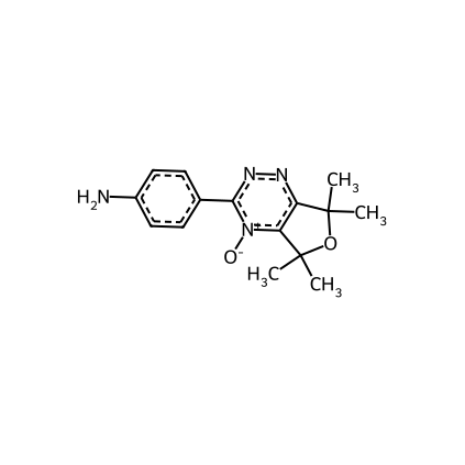 CC1(C)OC(C)(C)c2c1nnc(-c1ccc(N)cc1)[n+]2[O-]